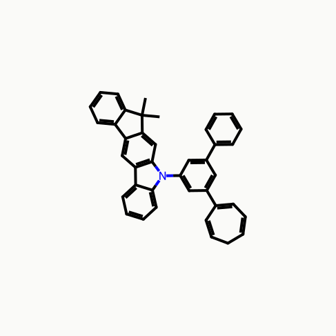 CC1(C)c2ccccc2-c2cc3c4ccccc4n(-c4cc(C5=CC=CCC=C5)cc(-c5ccccc5)c4)c3cc21